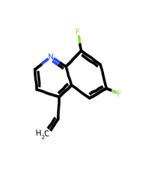 C=Cc1ccnc2c(F)cc(F)cc12